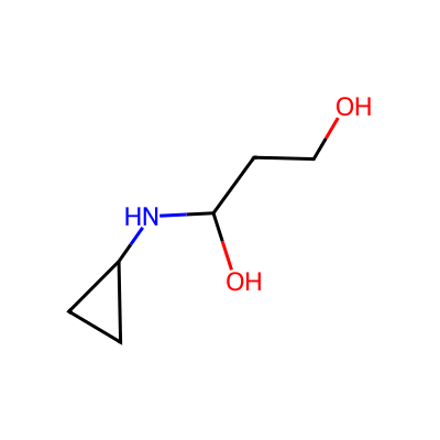 OCCC(O)NC1CC1